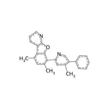 Cc1cc(-c2c(C)cc(C)c3c2oc2ncccc23)ncc1-c1ccccc1